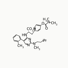 Cc1ccccc1-c1cnc(N(C)CCC(C)C)nc1N[C@@H](Cc1ccc(OC(=O)N(C)C)cc1)C(=O)O